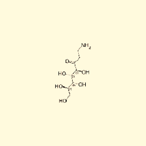 NCCC(=O)[C@@H](O)[C@@H](O)[C@H](O)[C@H](O)CO